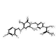 Cc1cc(OCc2ccc(F)cc2F)c(Br)c(=O)n1Cc1ccc(C(N)C(N)=O)cc1